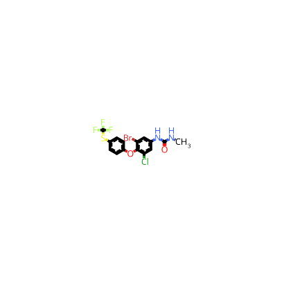 CNC(=O)Nc1cc(Cl)c(Oc2ccc(SC(F)(F)F)cc2)c(Br)c1